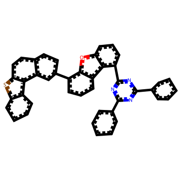 c1ccc(-c2nc(-c3ccccc3)nc(-c3cccc4oc5c(-c6ccc7ccc8sc9ccccc9c8c7c6)cccc5c34)n2)cc1